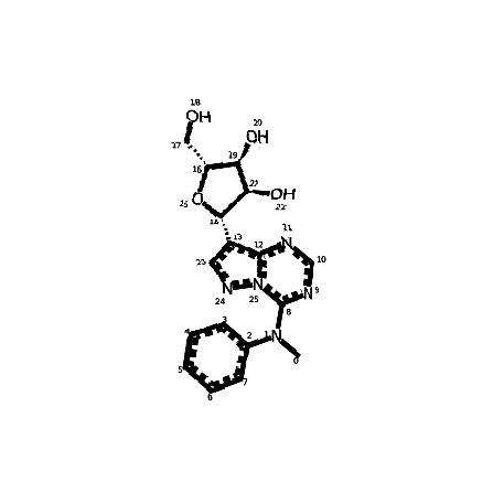 CN(c1ccccc1)c1ncnc2c([C@@H]3O[C@H](CO)[C@@H](O)[C@H]3O)cnn12